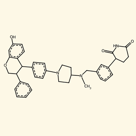 CN(Cc1cccc(C2CCC(=O)NC2=O)c1)C1CCN(c2ccc(C3c4ccc(O)cc4OCC3c3ccccc3)cc2)CC1